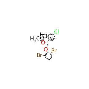 C[SiH](C)OC(COc1c(Br)cccc1Br)c1ccc(Cl)cc1